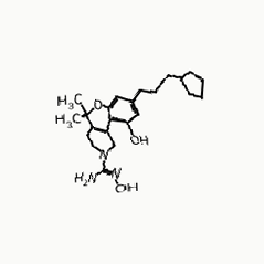 CC1(C)Oc2cc(CCCC3CCCC3)cc(O)c2C2=C1CCN(C(N)=NO)C2